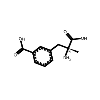 C[C@@](N)(Cc1cccc(C(=O)O)c1)C(=O)O